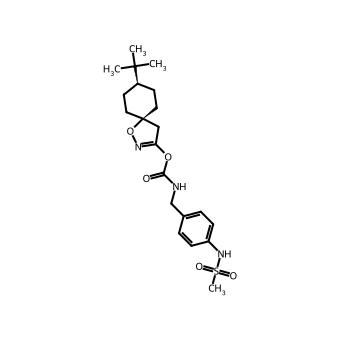 CC(C)(C)[C@H]1CC[C@@]2(CC1)CC(OC(=O)NCc1ccc(NS(C)(=O)=O)cc1)=NO2